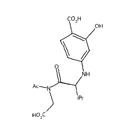 CC(=O)N(CC(=O)O)C(=O)C(Nc1ccc(C(=O)O)c(O)c1)C(C)C